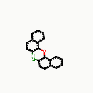 Clc1ccc2ccccc2c1Oc1c(Cl)ccc2ccccc12